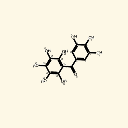 O=C(c1cc(O)c(O)c(O)c1)c1c(O)c(O)c(O)c(O)c1O